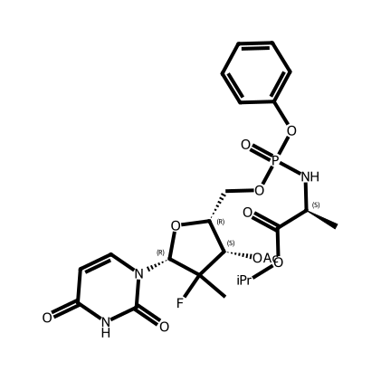 CC(=O)O[C@H]1[C@@H](COP(=O)(N[C@@H](C)C(=O)OC(C)C)Oc2ccccc2)O[C@@H](n2ccc(=O)[nH]c2=O)C1(C)F